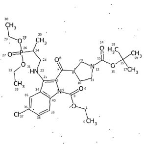 CCOC(=O)n1c(C(=O)C2CCN(C(=O)OC(C)(C)C)C2)c(NCC(C)P(=O)(OCC)OCC)c2cc(Cl)ccc21